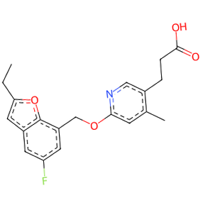 CCc1cc2cc(F)cc(COc3cc(C)c(CCC(=O)O)cn3)c2o1